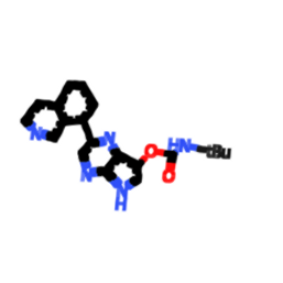 CC(C)(C)NC(=O)Oc1c[nH]c2ncc(-c3cccc4ccncc34)nc12